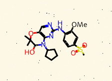 COc1cc(S(C)(=O)=O)ccc1Nc1ncc2c(n1)N(C1CCCC1)C(O)C(C)(C)O2